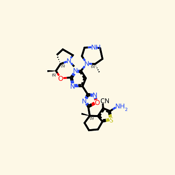 C[C@H](Oc1nc(-c2noc([C@@]3(C)CCCc4sc(N)c(C#N)c43)n2)cc(N2CCNCC[C@@H]2C)n1)[C@@H]1CCCN1C